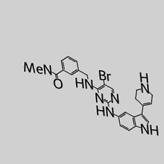 CNC(=O)c1cccc(CNc2nc(Nc3ccc4[nH]cc(C5=CCNCC5)c4c3)ncc2Br)c1